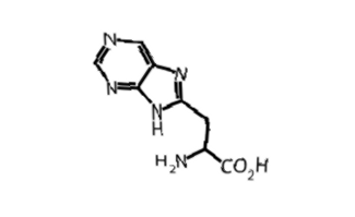 NC(Cc1nc2cncnc2[nH]1)C(=O)O